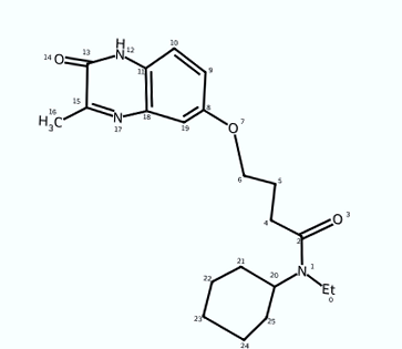 CCN(C(=O)CCCOc1ccc2[nH]c(=O)c(C)nc2c1)C1CCCCC1